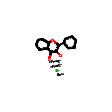 O=c1c([O-])c(-c2ccccc2)oc2ccccc12.[Br-].[CH2-]CCC.[CH2-]CCC.[Sn+4]